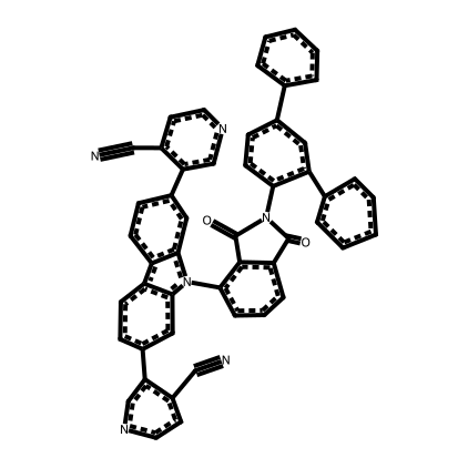 N#Cc1ccncc1-c1ccc2c3ccc(-c4cnccc4C#N)cc3n(-c3cccc4c3C(=O)N(c3ccc(-c5ccccc5)cc3-c3ccccc3)C4=O)c2c1